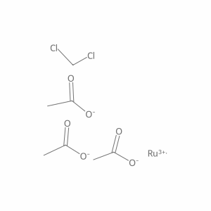 CC(=O)[O-].CC(=O)[O-].CC(=O)[O-].ClCCl.[Ru+3]